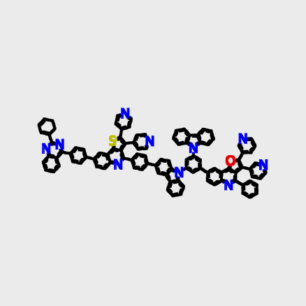 C1=CCCC(c2nc(-c3ccc(-c4ccc5nc(-c6ccc(-c7ccc8c(c7)c7ccccc7n8-c7cc(-c8ccc9nc(-c%10ccccc%10)c%10c(-c%11cccnc%11)c(-c%11cccnc%11)oc%10c9c8)cc(-n8c9ccccc9c9ccccc98)c7)cc6)c6c(-c7ccncc7)c(-c7ccncc7)sc6c5c4)cc3)c3ccccc3n2)=C1